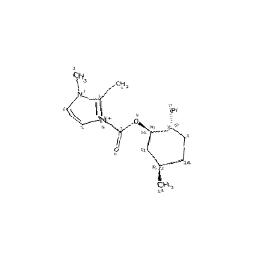 Cc1n(C)cc[n+]1C(=O)O[C@@H]1C[C@H](C)CC[C@H]1C(C)C